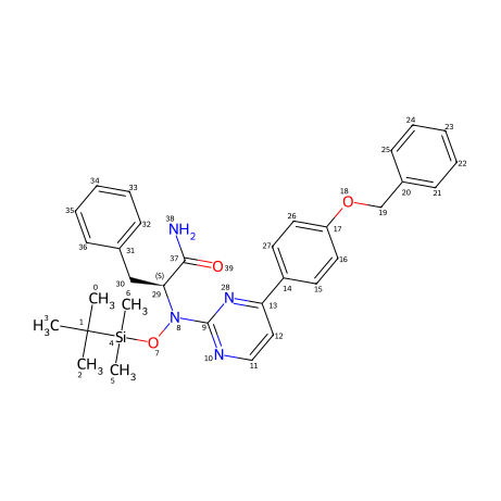 CC(C)(C)[Si](C)(C)ON(c1nccc(-c2ccc(OCc3ccccc3)cc2)n1)[C@@H](Cc1ccccc1)C(N)=O